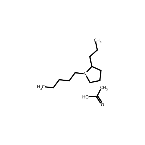 CC(=O)O.CCCCCN1CCCC1CCC